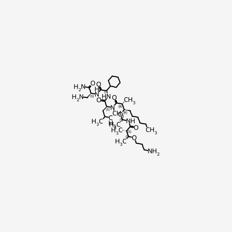 CCCCCC[C@@H](O[C@@H](C)NC(=O)[C@@H](C)[C@H](C)OCCCN)[C@@H](C)C(=O)N(C)[C@@H](CC(C)C)C(=O)N[C@H](C(=O)N[C@@H](CN)C(N)=O)C1CCCCC1